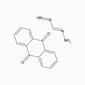 N=NC=NN.O=C1c2ccccc2C(=O)c2ccccc21